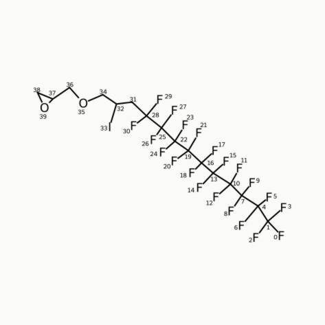 FC(F)(F)C(F)(F)C(F)(F)C(F)(F)C(F)(F)C(F)(F)C(F)(F)C(F)(F)C(F)(F)C(F)(F)CC(I)COCC1CO1